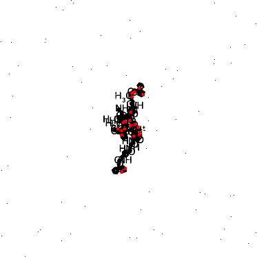 [C-]#[N+]CCOP(OC[C@H]1O[C@@H](n2ccc(NC(=O)CCCN(C)C(=O)OCC3c4ccccc4-c4ccccc43)nc2=O)CC1OP(OCCC=N)N(C(C)C)C(C)C)OC1C[C@H](n2cnc3c(=O)[nH]c(NC(=O)CCNC(=O)c4ccc(CNC(=O)OCC5c6ccccc6-c6ccccc65)cc4)nc32)O[C@@H]1COC(c1ccccc1)(c1ccc(OC)cc1)c1ccc(OC)cc1